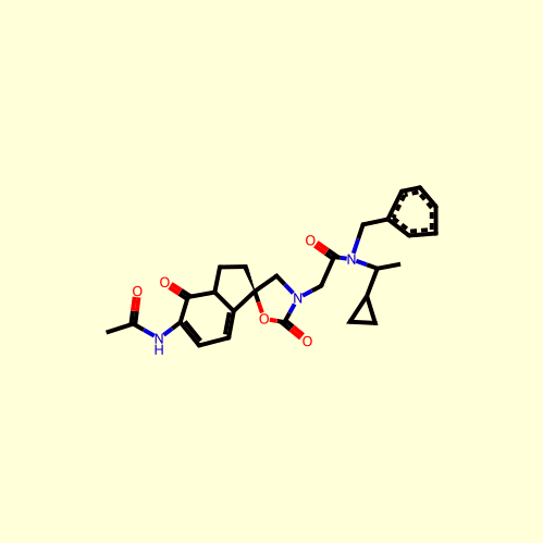 CC(=O)NC1=CC=C2C(CC[C@]23CN(CC(=O)N(Cc2ccccc2)C(C)C2CC2)C(=O)O3)C1=O